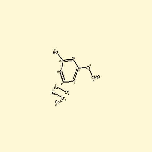 CC(=O)[O-].CC(=O)[O-].O=COc1cccc(O)c1.[Co+2]